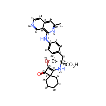 CC[C@@](Cc1ccc(Nc2nc(C)cc3ccncc23)cc1)(NC1=C(Br)C(=O)C12CCCCC2)C(=O)O